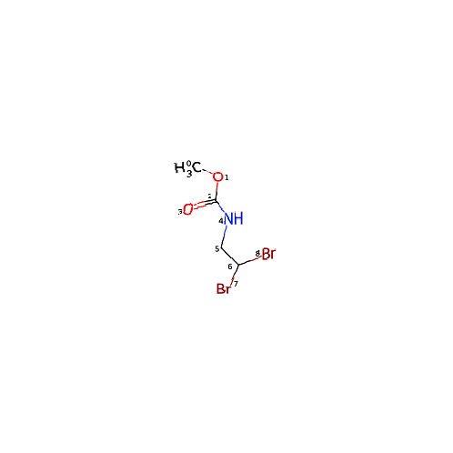 COC(=O)NCC(Br)Br